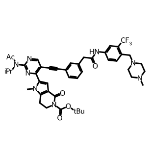 CC(=O)N(c1ncc(C#Cc2cccc(CC(=O)Nc3ccc(CN4CCN(C)CC4)c(C(F)(F)F)c3)c2)c(-c2cc3c(n2C)CCN(C(=O)OC(C)(C)C)C3=O)n1)C(C)C